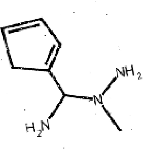 CN(N)C(N)C1=CC=CC1